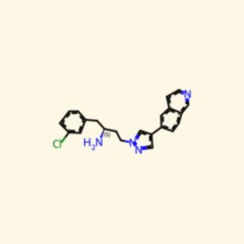 N[C@H](CCn1cc(-c2ccc3cnccc3c2)cn1)Cc1cccc(Cl)c1